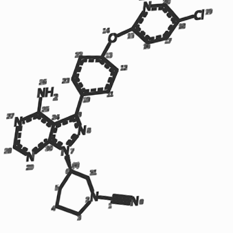 N#CN1CCC[C@@H](n2nc(-c3ccc(Oc4ccc(Cl)cn4)cc3)c3c(N)ncnc32)C1